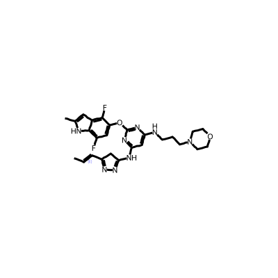 C/C=C/C1=NN=C(Nc2cc(NCCCN3CCOCC3)nc(Oc3cc(F)c4[nH]c(C)cc4c3F)n2)C1